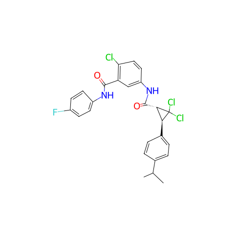 CC(C)c1ccc([C@H]2[C@H](C(=O)Nc3ccc(Cl)c(C(=O)Nc4ccc(F)cc4)c3)C2(Cl)Cl)cc1